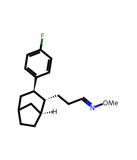 CON=CCC[C@@H]1[C@H]2CCC(C2)C[C@H]1c1ccc(F)cc1